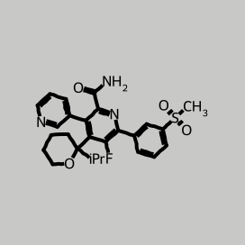 CC(C)C1(c2c(F)c(-c3cccc(S(C)(=O)=O)c3)nc(C(N)=O)c2-c2cccnc2)CCCCO1